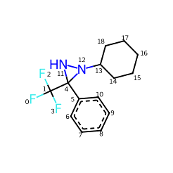 FC(F)(F)C1(c2ccccc2)NN1C1CCCCC1